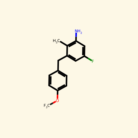 Cc1c(N)cc(F)cc1Cc1ccc(OC(F)(F)F)cc1